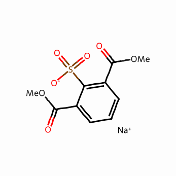 COC(=O)c1cccc(C(=O)OC)c1S(=O)(=O)[O-].[Na+]